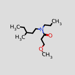 CCCN(CCC(C)CC)C(=O)CCOC